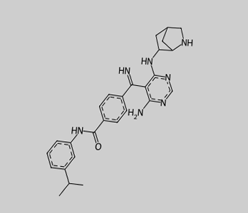 CC(C)c1cccc(NC(=O)c2ccc(C(=N)c3c(N)ncnc3NC3CC4CNC3C4)cc2)c1